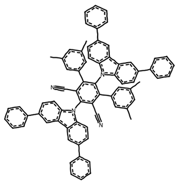 Cc1cc(C)cc(-c2c(C#N)c(-n3c4ccc(-c5ccccc5)cc4c4cc(-c5ccccc5)ccc43)c(C#N)c(-c3cc(C)cc(C)c3)c2-n2c3ccc(-c4ccccc4)cc3c3cc(-c4ccccc4)ccc32)c1